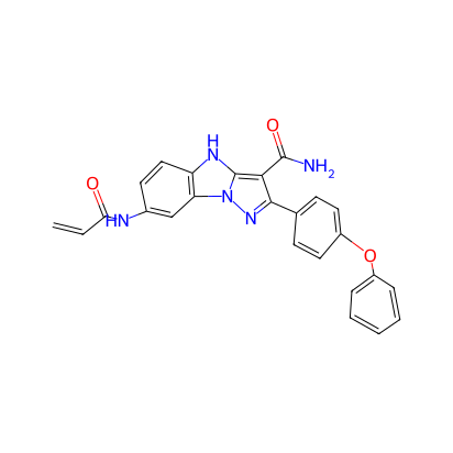 C=CC(=O)Nc1ccc2[nH]c3c(C(N)=O)c(-c4ccc(Oc5ccccc5)cc4)nn3c2c1